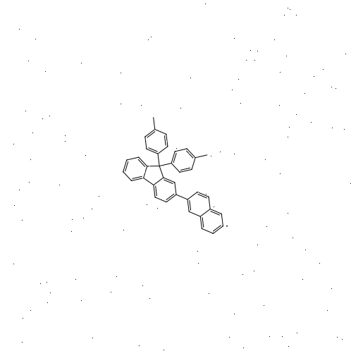 Cc1ccc(C2(c3ccc(C)cc3)c3ccccc3-c3ccc(-c4ccc5c[c]ccc5c4)cc32)cc1